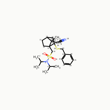 CC(C)N(C(C)C)S(=O)(=O)CC12CCC(C[C@]1(C#N)SCc1ccccc1)C2(C)C